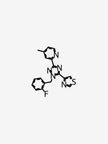 Cc1ccnc(-c2nc(-c3cscn3)n(Cc3ccccc3F)n2)c1